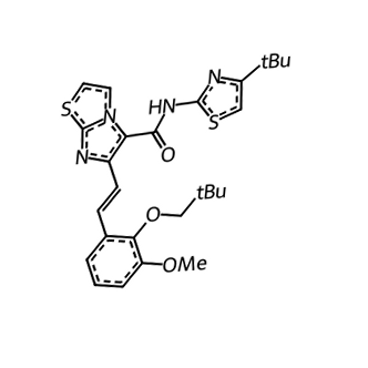 COc1cccc(C=Cc2nc3sccn3c2C(=O)Nc2nc(C(C)(C)C)cs2)c1OCC(C)(C)C